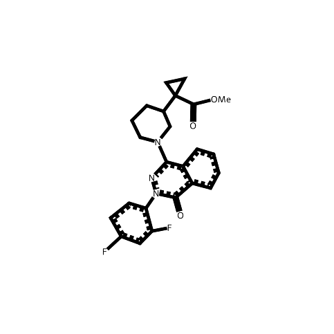 COC(=O)C1(C2CCCN(c3nn(-c4ccc(F)cc4F)c(=O)c4ccccc34)C2)CC1